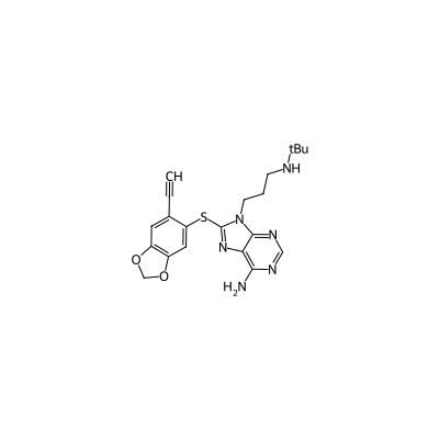 C#Cc1cc2c(cc1Sc1nc3c(N)ncnc3n1CCCNC(C)(C)C)OCO2